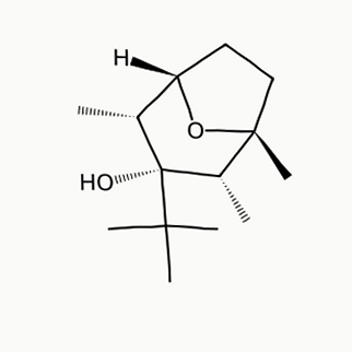 C[C@@H]1[C@@H]2CC[C@@](C)(O2)[C@H](C)[C@@]1(O)C(C)(C)C